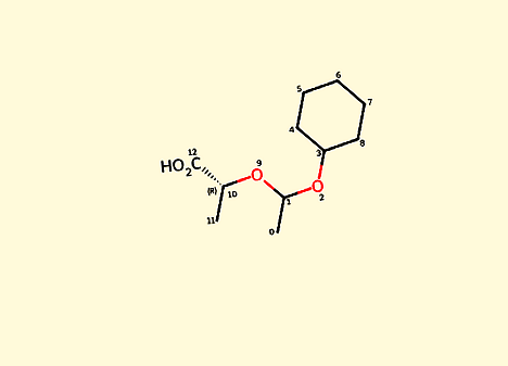 CC(OC1CCCCC1)O[C@H](C)C(=O)O